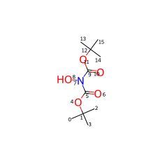 CC(C)(C)OC(=O)N(O)C(=O)OC(C)(C)C